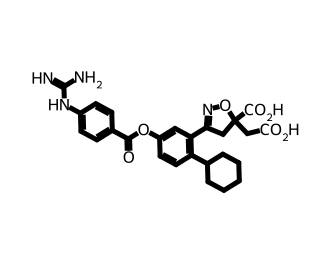 N=C(N)Nc1ccc(C(=O)Oc2ccc(C3CCCCC3)c(C3=NOC(CC(=O)O)(C(=O)O)C3)c2)cc1